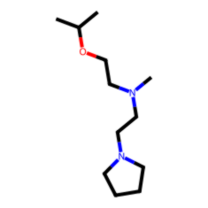 CC(C)OCCN(C)CCN1CCCC1